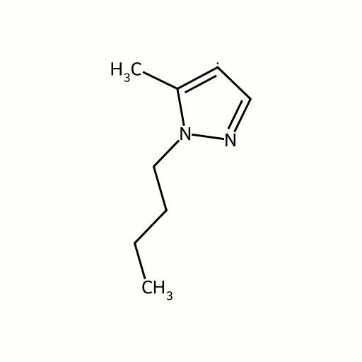 CCCCn1nc[c]c1C